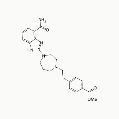 COC(=O)c1ccc(CCN2CCCN(c3nc4c(C(N)=O)cccc4[nH]3)CC2)cc1